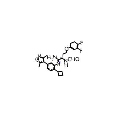 Cc1noc(C)c1-c1ccc(C2CCC2)c(/N=C(\N)[C@H](CCOC2=CC(F)=C(F)CC2)NC=O)c1